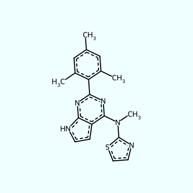 Cc1cc(C)c(-c2nc(N(C)c3nccs3)c3cc[nH]c3n2)c(C)c1